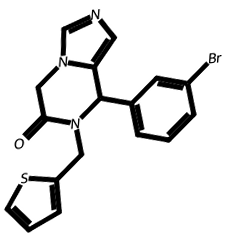 O=C1Cn2cncc2C(c2cccc(Br)c2)N1Cc1cccs1